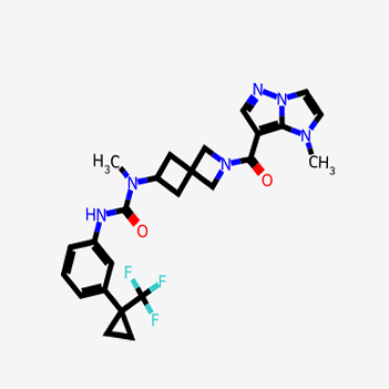 CN(C(=O)Nc1cccc(C2(C(F)(F)F)CC2)c1)C1CC2(C1)CN(C(=O)c1cnn3ccn(C)c13)C2